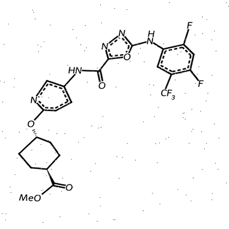 COC(=O)[C@H]1CC[C@H](Oc2ccc(NC(=O)c3nnc(Nc4cc(C(F)(F)F)c(F)cc4F)o3)cn2)CC1